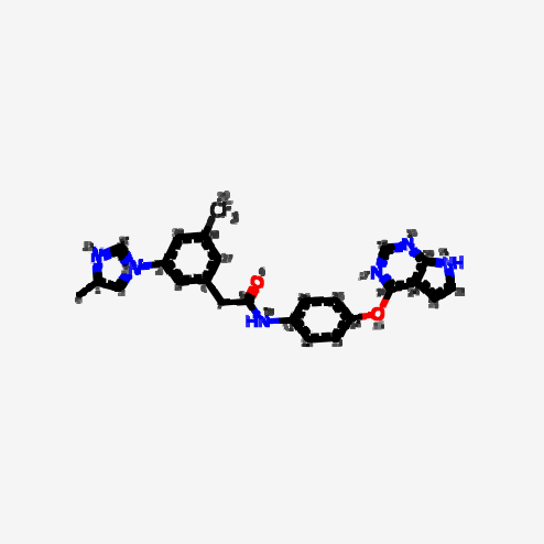 Cc1cn(-c2cc(CC(=O)Nc3ccc(Oc4ncnc5[nH]ccc45)cc3)cc(C(F)(F)F)c2)cn1